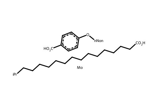 CC(C)CCCCCCCCCCCCCCC(=O)O.CCCCCCCCCOc1ccc(C(=O)O)cc1.[Mo]